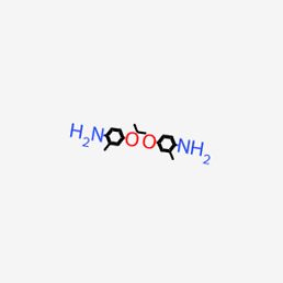 Cc1cc(OCC(C)Oc2ccc(N)c(C)c2)ccc1N